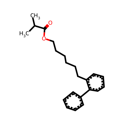 CC(C)C(=O)OCCCCCCc1ccccc1-c1ccccc1